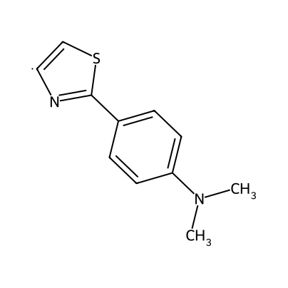 CN(C)c1ccc(-c2n[c]cs2)cc1